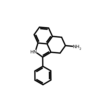 NC1Cc2cccc3[nH]c(-c4ccccc4)c(c23)C1